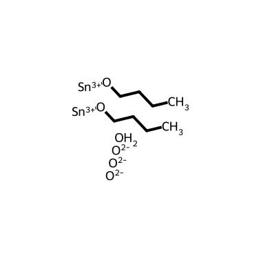 CCCC[O][Sn+3].CCCC[O][Sn+3].O.[O-2].[O-2].[O-2]